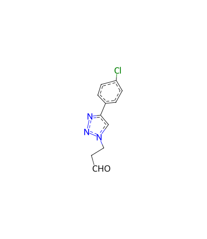 O=CCCn1cc(-c2ccc(Cl)cc2)nn1